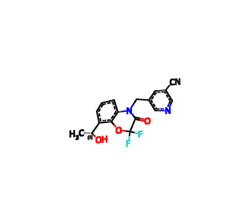 C[C@@H](O)c1cccc2c1OC(F)(F)C(=O)N2Cc1cncc(C#N)c1